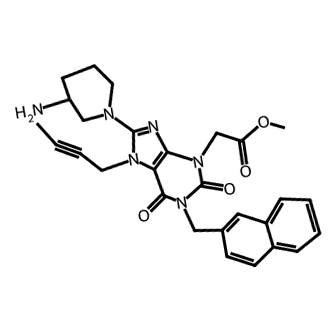 CC#CCn1c(N2CCCC(N)C2)nc2c1c(=O)n(Cc1ccc3ccccc3c1)c(=O)n2CC(=O)OC